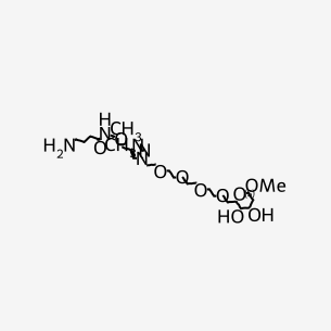 CO[C@@H]1CC(O)C(O)C(COCCOCCOCCOCCn2cc(COC(C)(C)NC(=O)CCCN)nn2)O1